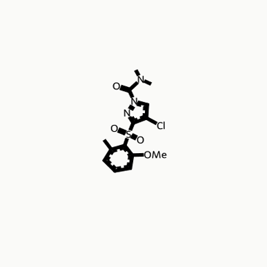 COc1cccc(C)c1S(=O)(=O)c1nn(C(=O)N(C)C)cc1Cl